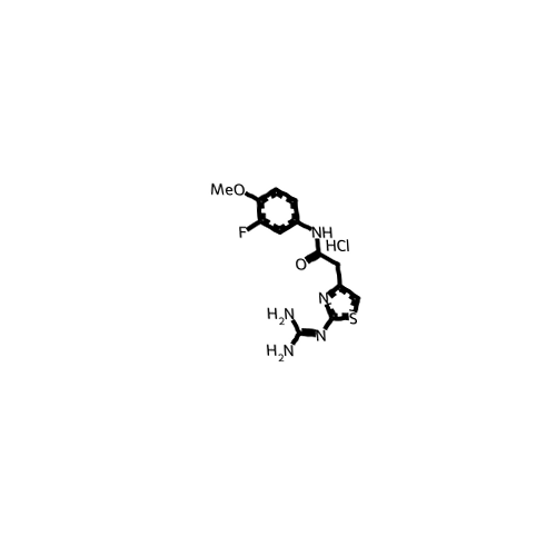 COc1ccc(NC(=O)Cc2csc(N=C(N)N)n2)cc1F.Cl